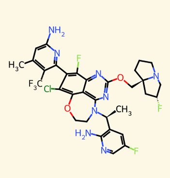 Cc1cc(N)nc(-c2c(Cl)c3c4c(nc(OC[C@@]56CCCN5C[C@H](F)C6)nc4c2F)N([C@@H](C)c2cc(F)cnc2N)CCO3)c1C(F)(F)F